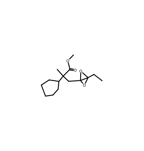 CCC12OC1(CC(C)(C(=O)OC)C1CCCCC1)O2